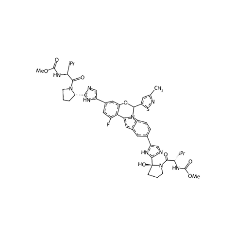 COC(=O)NC(C(=O)N1CCC[C@H]1c1ncc(-c2cc(F)c3c(c2)OC(c2cc(C)ns2)n2c-3cc3cc(-c4cnc([C@@]5(O)CCCN5C(=O)[C@@H](NC(=O)OC)C(C)C)[nH]4)ccc32)[nH]1)C(C)C